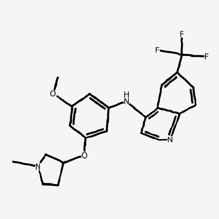 COc1cc(Nc2ccnc3ccc(C(F)(F)F)cc23)cc(OC2CCN(C)C2)c1